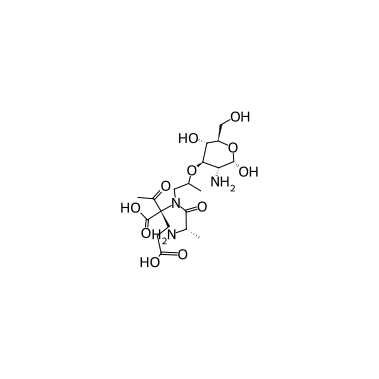 CC(=O)[C@@](CCC(=O)O)(C(=O)O)N(CC(C)O[C@@H]1[C@@H](N)[C@@H](O)O[C@H](CO)[C@H]1O)C(=O)[C@H](C)N